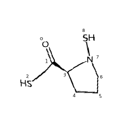 O=C(S)[C@@H]1CCCN1S